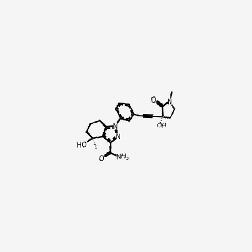 CN1CC[C@@](O)(C#Cc2cccc(-n3nc(C(N)=O)c4c3CCC[C@]4(C)O)c2)C1=O